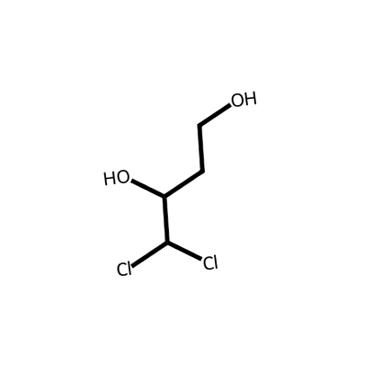 OCCC(O)C(Cl)Cl